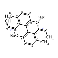 C/C=C\c1c(C)ccc(OCC(C)C)c1-c1c(OC(C)C)ccc(C)c1/C=C\C